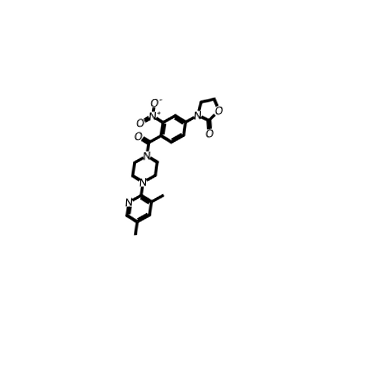 Cc1cnc(N2CCN(C(=O)c3ccc(N4CCOC4=O)cc3[N+](=O)[O-])CC2)c(C)c1